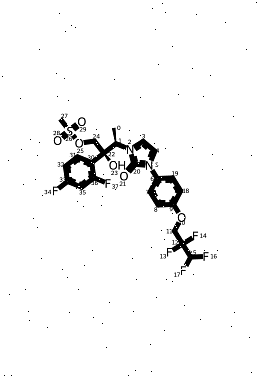 C[C@@H](n1ccn(-c2ccc(OCC(F)(F)C(F)F)cc2)c1=O)[C@@](O)(COS(C)(=O)=O)c1ccc(F)cc1F